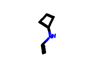 C=CNC1CCC1